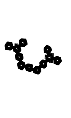 c1ccc(-c2cc(-c3ccc(-c4cccc(-c5ccc(-c6cccc(-c7ccc(-c8nc(-c9ccccc9)nc(-c9ccccc9)n8)cc7)c6)cc5)c4)cc3)cc(-c3ccccc3)n2)cc1